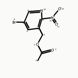 CC(=O)OCc1cc(Br)cnc1[N+](=O)[O-]